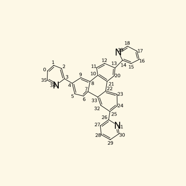 c1ccc(-c2ccc3c(c2)c2ccc(-c4ccccn4)cc2c2ccc(-c4ccccn4)cc32)nc1